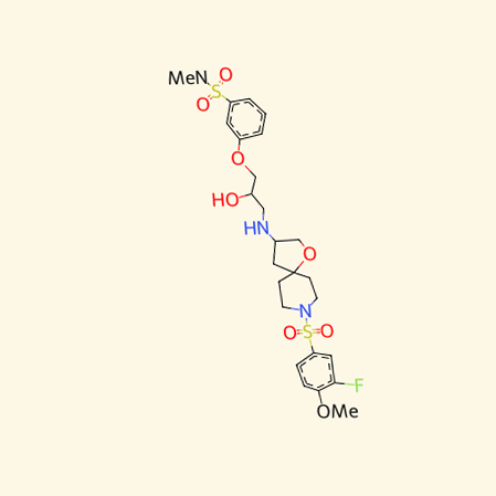 CNS(=O)(=O)c1cccc(OCC(O)CNC2COC3(CCN(S(=O)(=O)c4ccc(OC)c(F)c4)CC3)C2)c1